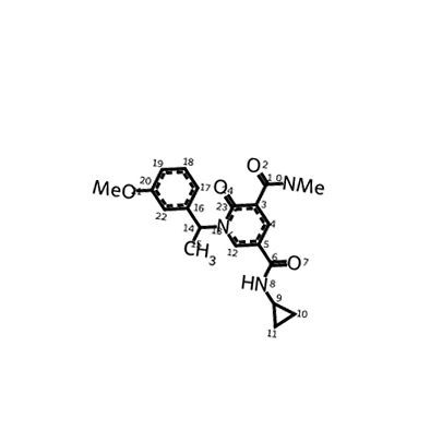 CNC(=O)c1cc(C(=O)NC2CC2)cn(C(C)c2cccc(OC)c2)c1=O